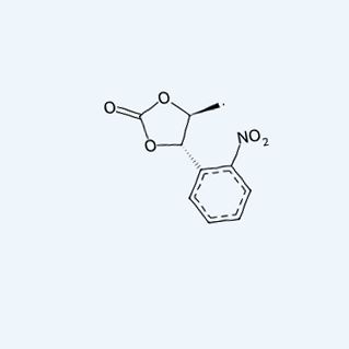 [CH2][C@@H]1OC(=O)O[C@H]1c1ccccc1[N+](=O)[O-]